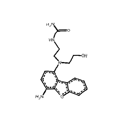 NC(=O)NCCN(CCO)c1ccc(N)c2oc3ccccc3c12